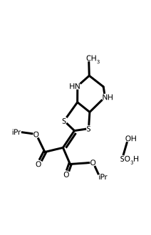 CC1CNC2SC(=C(C(=O)OC(C)C)C(=O)OC(C)C)SC2N1.O=S(=O)(O)O